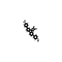 CCCC1(CCC)c2cc(-c3ccc(OC)cc3)ccc2-c2ccc(-c3ccc(OC)cc3)cc21